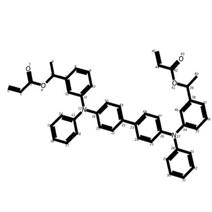 C=CC(=O)OC(C)c1cccc(N(c2ccccc2)c2ccc(-c3ccc(N(c4ccccc4)c4cccc(C(C)OC(=O)C=C)c4)cc3)cc2)c1